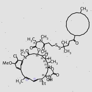 CC[C@H]1/C=C/C=C(\C)Cc2cc(OC)c(Cl)c(c2)N(C)C(=O)C[C@@H](OC(=O)[C@@H](C)N(C)C(=O)CCSSC(C)(C)CCC(=O)C2CCCCCCCC(C)CCCCCCC2)[C@@]2(C)O[C@@H]2[C@@H](C)[C@H]2C[C@]1(O)NC(=O)O2